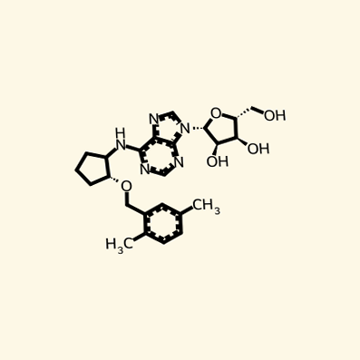 Cc1ccc(C)c(CO[C@@H]2CCCC2Nc2ncnc3c2ncn3[C@@H]2O[C@H](CO)[C@@H](O)[C@H]2O)c1